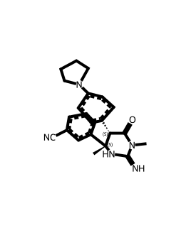 CN1C(=N)N[C@](C)(c2cccc(C#N)c2)[C@H](c2ccc(N3CCCC3)cc2)C1=O